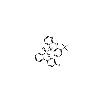 CC(C)(C)c1ccccc1Oc1ncccc1NS(=O)(=O)c1ccccc1-c1ccc(F)cc1